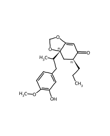 CCC[C@H]1C[C@]2(C(C)Cc3ccc(OC)c(O)c3)OCOC2=CC1=O